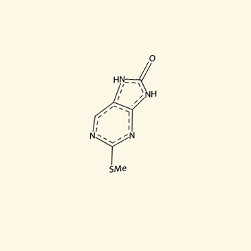 CSc1ncc2[nH]c(=O)[nH]c2n1